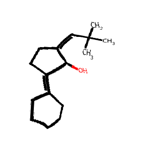 CC(C)(C)C=C1CCC(=C2CCCCC2)C1O